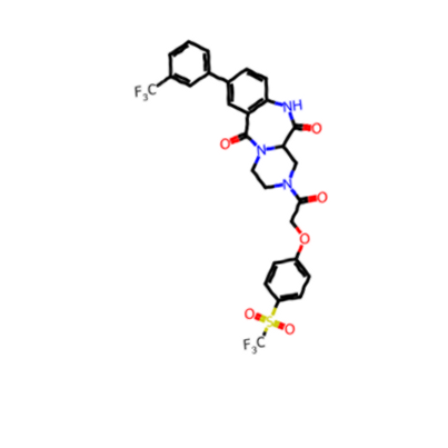 O=C1Nc2ccc(-c3cccc(C(F)(F)F)c3)cc2C(=O)N2CCN(C(=O)COc3ccc(S(=O)(=O)C(F)(F)F)cc3)CC12